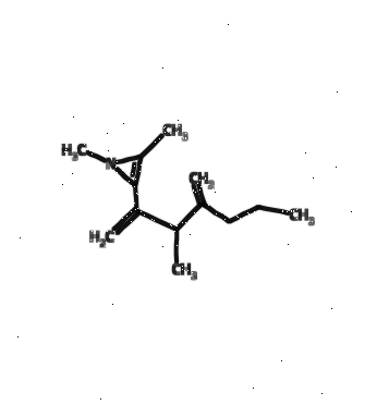 C=C(CCC)C(C)C(=C)C1=C(C)N1C